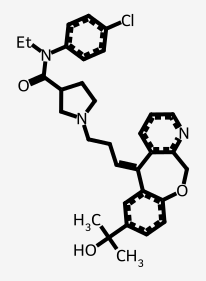 CCN(C(=O)C1CCN(CCC=C2c3cc(C(C)(C)O)ccc3OCc3ncccc32)C1)c1ccc(Cl)cc1